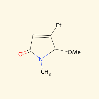 CCC1=CC(=O)N(C)C1OC